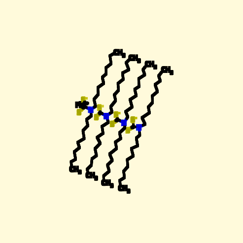 CCCCCCCCCCCN(CCCCCCCCCCC)C(=S)[S-].CCCCCCCCCCCN(CCCCCCCCCCC)C(=S)[S-].CCCCCCCCCCCN(CCCCCCCCCCC)C(=S)[S-].CCCCCCCCCCCN(CCCCCCCCCCC)C(=S)[S-].[Pb+4]